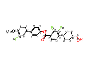 COc1ccc(-c2ccc(OC(=O)c3ccc(C4CCC(CO)CC4)c(F)c3F)cc2)cc1F